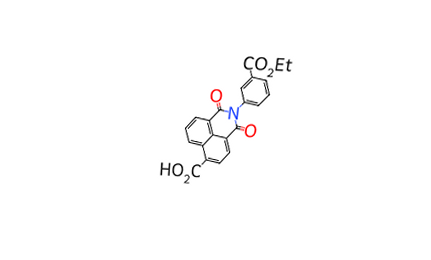 CCOC(=O)c1cccc(N2C(=O)c3cccc4c(C(=O)O)ccc(c34)C2=O)c1